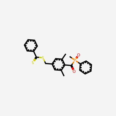 Cc1cc(CSC(=S)c2ccccc2)cc(C)c1C(=O)P(C)(=O)c1ccccc1